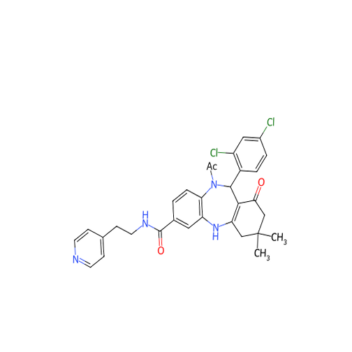 CC(=O)N1c2ccc(C(=O)NCCc3ccncc3)cc2NC2=C(C(=O)CC(C)(C)C2)C1c1ccc(Cl)cc1Cl